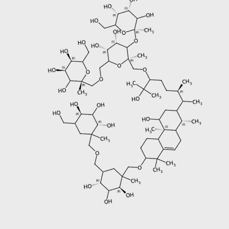 CC(C1CC(O)[C@]2(C)C3CCC(OCC4(C)CC(COCC5(C)CC(CO)[C@@H](O)C(O)[C@@H]5O)[C@@H](O)C(O)[C@@H]4O)C(C)(C)C3=CCC2[C@H]1C)[C@H](C)CCC(OC[C@@]1(C)OC(COC[C@@]2(C)OC(CO)[C@H](O)[C@H](O)C2O)[C@H](O)[C@H](O)C1O[C@@]1(C)OC(CO)[C@H](O)[C@H](O)C1O)C(C)(C)O